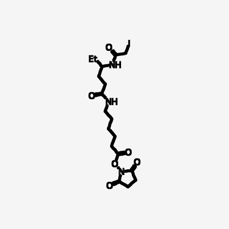 CCC(CCC(=O)NCCCCCC(=O)ON1C(=O)CCC1=O)NC(=O)CI